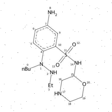 CCCCN(NCC)c1ccc(N)cc1S(=O)(=O)NC1CNCCO1